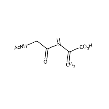 C=C(NC(=O)CNC(C)=O)C(=O)O